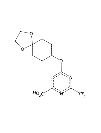 O=C(O)c1cc(OC2CCC3(CC2)OCCO3)nc(C(F)(F)F)n1